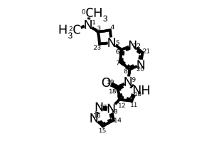 CN(C)C1CN(c2cc(-n3[nH]cc(-n4ccnn4)c3=O)ncn2)C1